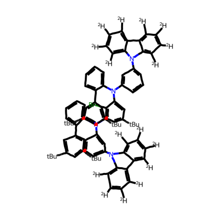 [2H]c1c([2H])c([2H])c2c(c1[2H])c1c([2H])c([2H])c([2H])c([2H])c1n2-c1cccc(N(c2ccccc2-c2cc(C(C)(C)C)cc(C(C)(C)C)c2)c2cc(C(C)(C)C)cc(N(c3cccc(-n4c5c([2H])c([2H])c([2H])c([2H])c5c5c([2H])c([2H])c([2H])c([2H])c54)c3)c3ccccc3-c3cc(C(C)(C)C)cc(C(C)(C)C)c3)c2Br)c1